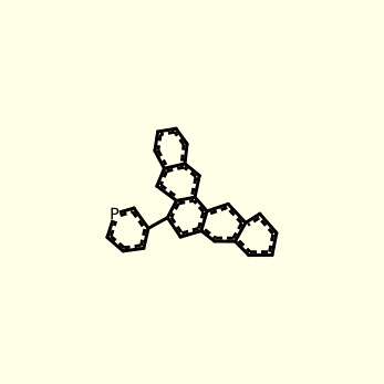 c1cpcc(-c2cc3cc4ccccc4cc3c3cc4ccccc4cc23)c1